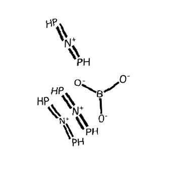 P=[N+]=P.P=[N+]=P.P=[N+]=P.[O-]B([O-])[O-]